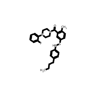 CCCCc1ccc(NSc2ccc(C)c(C(=O)N3CCN(c4ccccc4F)CC3)c2)cc1